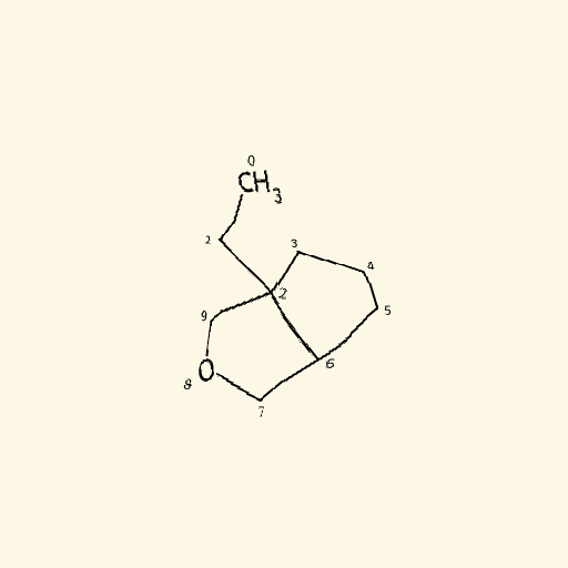 CCC12CCCC1COC2